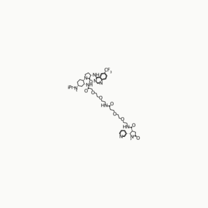 CC(C)N(C)[C@@H]1CC[C@H](N2CC[C@H](Nc3ncnc4ccc(C(F)(F)F)cc34)C2=O)[C@H](NC(=O)COCCOCCNC(=O)CCOCCOCCNC(=O)[C@H]2CC(=O)N(C)[C@@H]2c2cccnc2)C1